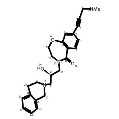 CNCC#Cc1ccc2c(c1)OCCN(C[C@H](O)CN1CCc3ccccc3C1)C2=O